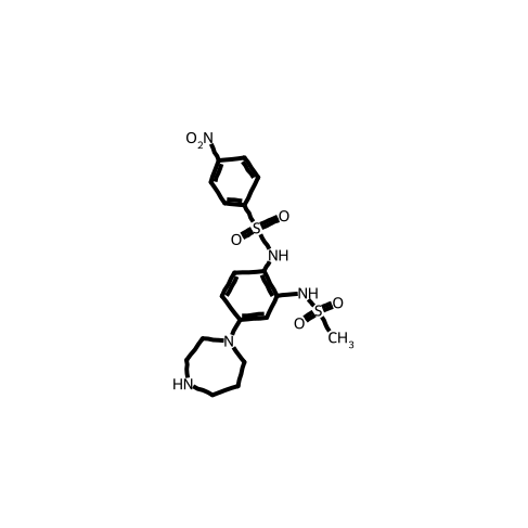 CS(=O)(=O)Nc1cc(N2CCCNCC2)ccc1NS(=O)(=O)c1ccc([N+](=O)[O-])cc1